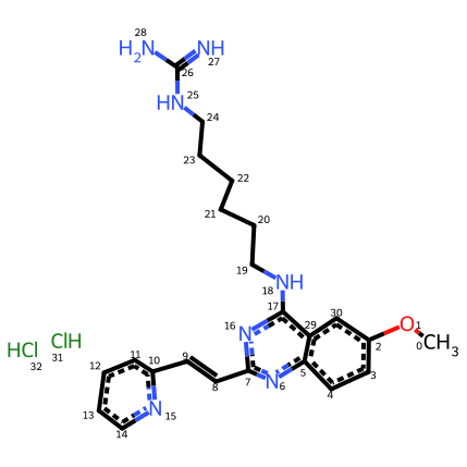 COc1ccc2nc(C=Cc3ccccn3)nc(NCCCCCCNC(=N)N)c2c1.Cl.Cl